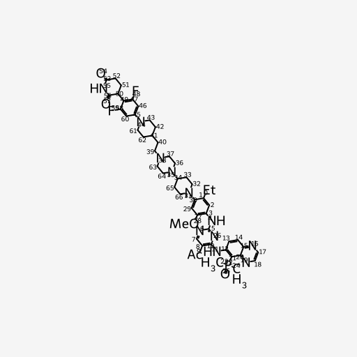 CCc1cc(Nc2ncc(C(C)=O)c(Nc3ccc4nccnc4c3P(C)(C)=O)n2)c(OC)cc1N1CCC(N2CCN(CCC3CCN(c4cc(F)c(C5CCC(=O)NC5=O)c(F)c4)CC3)CC2)CC1